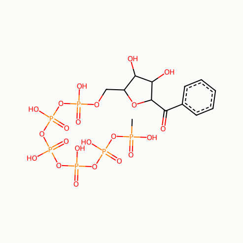 CP(=O)(O)OP(=O)(O)OP(=O)(O)OP(=O)(O)OP(=O)(O)OP(=O)(O)OCC1OC(C(=O)c2ccccc2)C(O)C1O